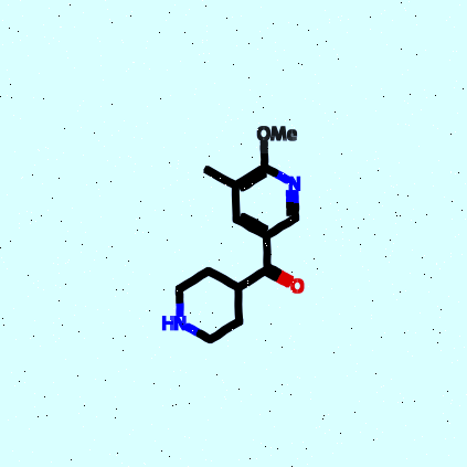 COc1ncc(C(=O)C2CCNCC2)cc1C